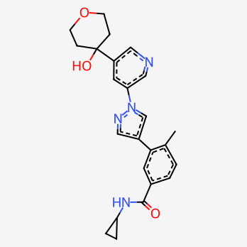 Cc1ccc(C(=O)NC2CC2)cc1-c1cnn(-c2cncc(C3(O)CCOCC3)c2)c1